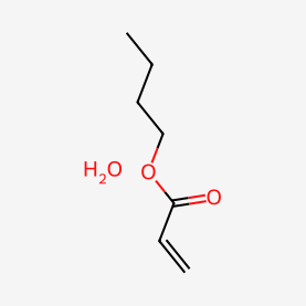 C=CC(=O)OCCCC.O